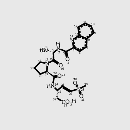 CC(C)(C)[C@H](NC(=O)c1ccc2ccccc2n1)C(=O)N1CCC[C@@H]1C(=O)N[C@H](/C=C/S(C)(=O)=O)CC(=O)O